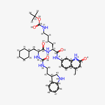 Cc1cc(=O)[nH]c2cc(NC(=O)[C@H](CCCCNC(=O)OC(C)(C)C)NC(=O)[C@H](CC3CCCCC3)NC(=O)NCCC3CNc4ccccc43)ccc12